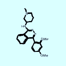 COc1ccc(-c2nnc(NC3CCCN(C)C3)c3ccccc23)c(OC)c1